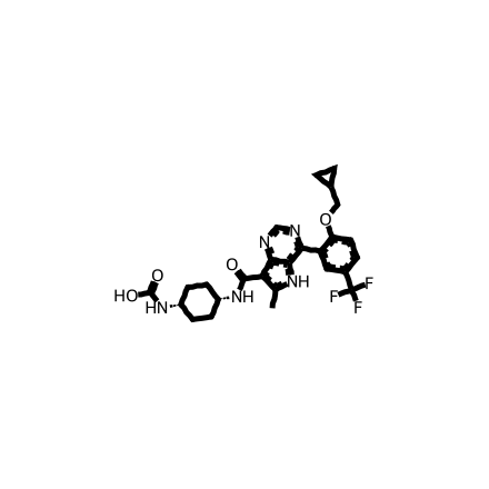 Cc1[nH]c2c(-c3cc(C(F)(F)F)ccc3OCC3CC3)ncnc2c1C(=O)N[C@H]1CC[C@@H](NC(=O)O)CC1